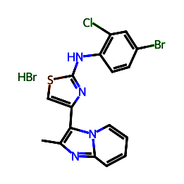 Br.Cc1nc2ccccn2c1-c1csc(Nc2ccc(Br)cc2Cl)n1